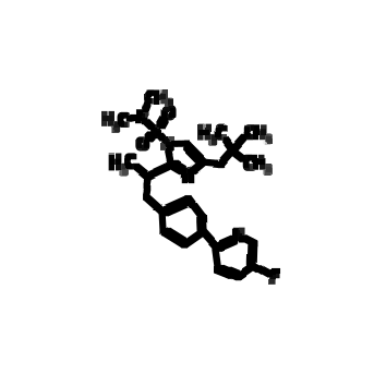 CC(Cc1ccc(-c2ccc(F)cn2)cc1)c1nc(CC(C)(C)C)cn1S(=O)(=O)N(C)C